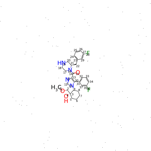 COC[C@]1(O)CCCC[C@H]1n1cnc(C(=O)N2CCNC[C@H]2Cc2cccc(F)c2)c1-c1cccc(F)c1